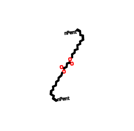 CCCCC/C=C\C/C=C\CCCCCCCCOC(=O)CCC(=O)OCCCCCCCC/C=C\C/C=C\CCCCC